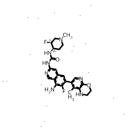 Cc1c(-c2cc3cc(NC(=O)N[C@@H]4CCN(C)C[C@@H]4F)ncc3c(N)c2F)cnc2c1NCCO2